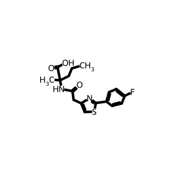 CCCC(C)(NC(=O)Cc1csc(-c2ccc(F)cc2)n1)C(=O)O